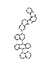 c1ccc2c(-c3c4ccccc4c(-c4ccc(-c5ccc6ccc7c(sc8ccc9oc%10ccccc%10c9c87)c6c5)c5ccccc45)c4ccccc34)cccc2c1